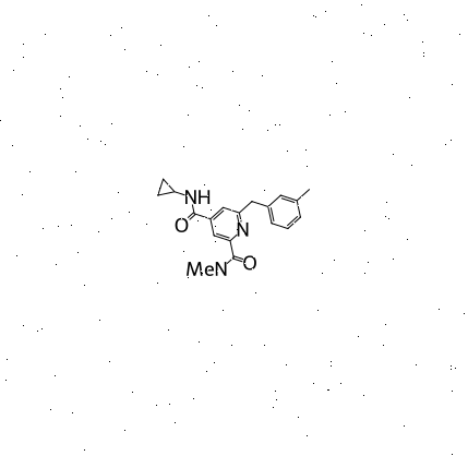 CNC(=O)c1cc(C(=O)NC2CC2)cc(Cc2cccc(C)c2)n1